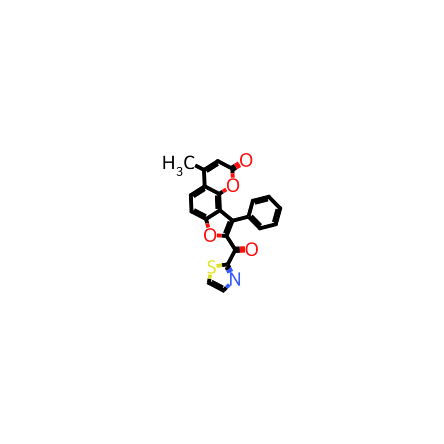 Cc1cc(=O)oc2c1ccc1oc(C(=O)c3nccs3)c(-c3ccccc3)c12